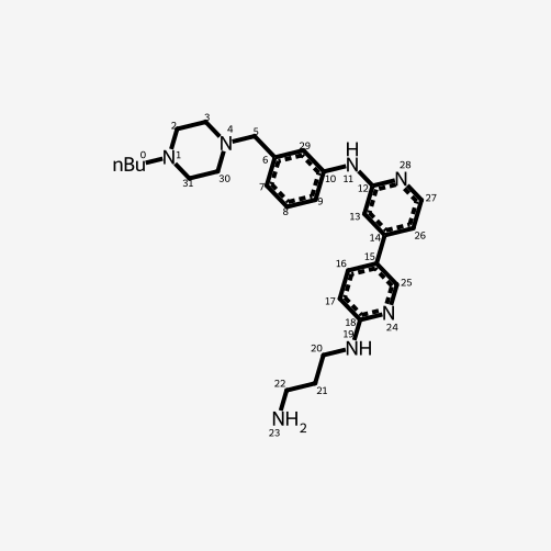 CCCCN1CCN(Cc2cccc(Nc3cc(-c4ccc(NCCCN)nc4)ccn3)c2)CC1